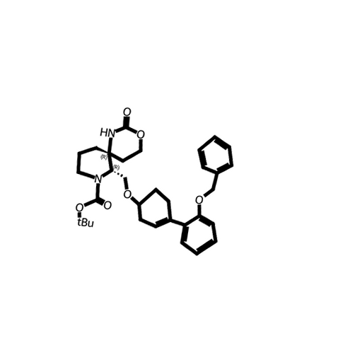 CC(C)(C)OC(=O)N1CCC[C@@]2(CCOC(=O)N2)[C@@H]1COC1CC=C(c2ccccc2OCc2ccccc2)CC1